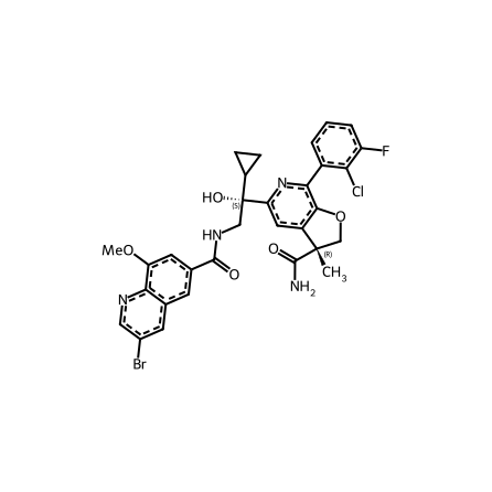 COc1cc(C(=O)NC[C@](O)(c2cc3c(c(-c4cccc(F)c4Cl)n2)OC[C@]3(C)C(N)=O)C2CC2)cc2cc(Br)cnc12